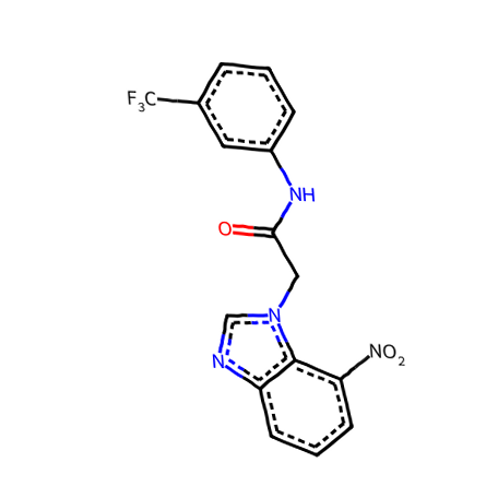 O=C(Cn1cnc2cccc([N+](=O)[O-])c21)Nc1cccc(C(F)(F)F)c1